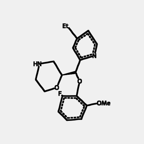 CCc1ccnc(C(Oc2c(F)cccc2OC)[C@@H]2CNCCO2)c1